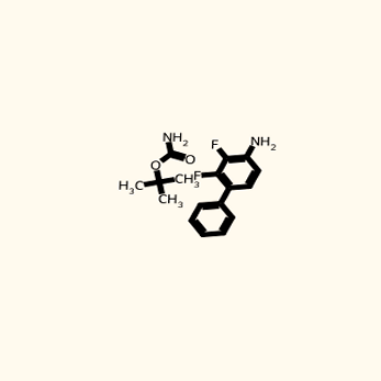 CC(C)(C)OC(N)=O.Nc1ccc(-c2ccccc2)c(F)c1F